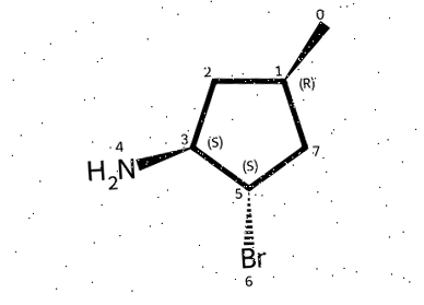 C[C@@H]1C[C@H](N)[C@@H](Br)C1